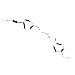 CCCC#Cc1ccc(CONCCc2ccc(OC)cc2)cc1